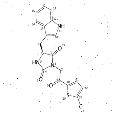 O=C(CN1C(=O)N[C@@H](Cc2c[nH]c3ccccc23)C1=O)c1ccc(Cl)s1